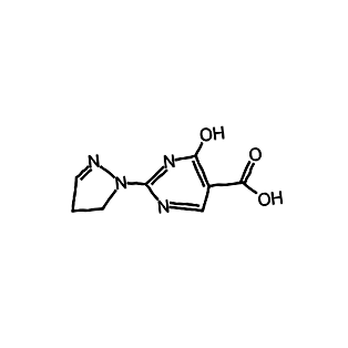 O=C(O)c1cnc(N2CCC=N2)nc1O